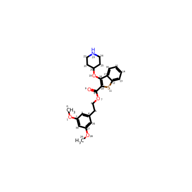 COc1cc(CCOC(=O)c2sc3ccccc3c2OC2CCNCC2)cc(OC)c1